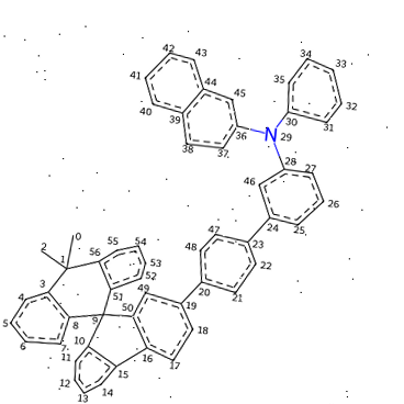 CC1(C)c2ccccc2C2(c3ccccc3-c3ccc(-c4ccc(-c5cccc(N(c6ccccc6)c6ccc7ccccc7c6)c5)cc4)cc32)c2ccccc21